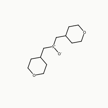 [O-][S+](CC1CCOCC1)CC1CCOCC1